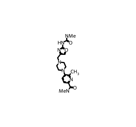 CNC(=O)Nc1nc(CN2CCN(c3ccc(C(=O)NC)nc3C)CC2)co1